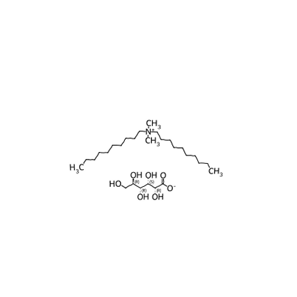 CCCCCCCCCC[N+](C)(C)CCCCCCCCCC.O=C([O-])[C@H](O)[C@@H](O)[C@H](O)[C@H](O)CO